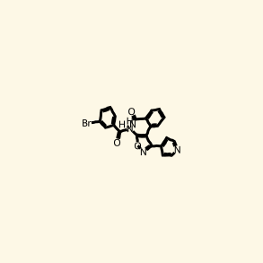 NC(=O)c1ccccc1-c1c(-c2ccncc2)noc1NC(=O)c1cccc(Br)c1